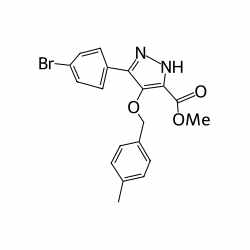 COC(=O)c1[nH]nc(-c2ccc(Br)cc2)c1OCc1ccc(C)cc1